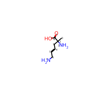 CC(N)(CC=CCN)C(=O)O